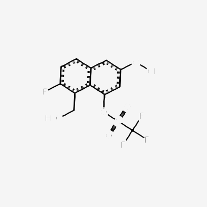 CCc1c(F)ccc2cc(OC)cc(OS(=O)(=O)C(F)(F)F)c12